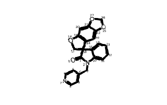 O=C1N(Cc2ccncc2)c2ccccc2C12COc1cc3c(cc12)OCO3